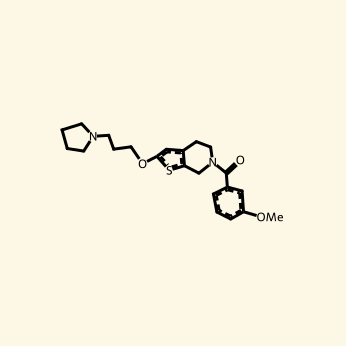 COc1cccc(C(=O)N2CCc3cc(OCCCN4CCCC4)sc3C2)c1